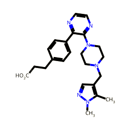 Cc1c(CN2CCN(c3nccnc3-c3ccc(CCC(=O)O)cc3)CC2)cnn1C